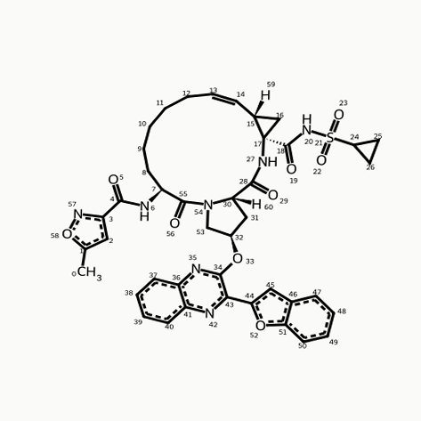 Cc1cc(C(=O)N[C@H]2CCCCC/C=C\[C@@H]3C[C@@]3(C(=O)NS(=O)(=O)C3CC3)NC(=O)[C@@H]3C[C@@H](Oc4nc5ccccc5nc4-c4cc5ccccc5o4)CN3C2=O)no1